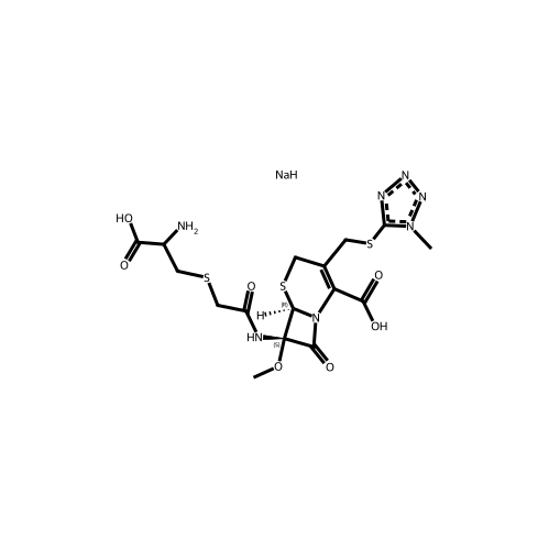 CO[C@@]1(NC(=O)CSCC(N)C(=O)O)C(=O)N2C(C(=O)O)=C(CSc3nnnn3C)CS[C@@H]21.[NaH]